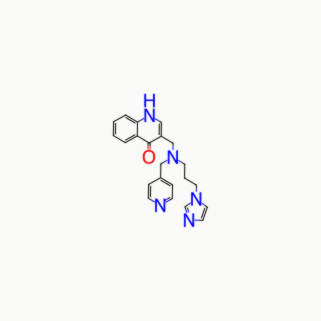 O=c1c(CN(CCCn2ccnc2)Cc2ccncc2)c[nH]c2ccccc12